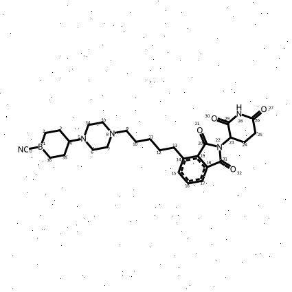 N#CB1CCC(N2CCN(CCCCCc3cccc4c3C(=O)N(C3CCC(=O)NC3=O)C4=O)CC2)CC1